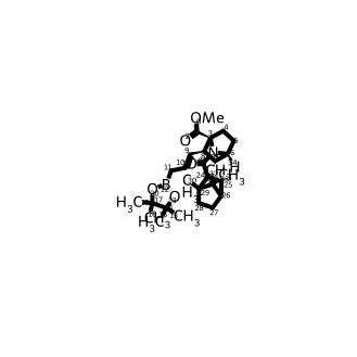 COC(=O)[C@]12CC[C@H](C[C@H]1/C=C/CB1OC(C)(C)C(C)(C)O1)N2C(=O)C1CC2CCC1(C)C2(C)C